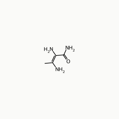 C/C(N)=C(\N)C(N)=O